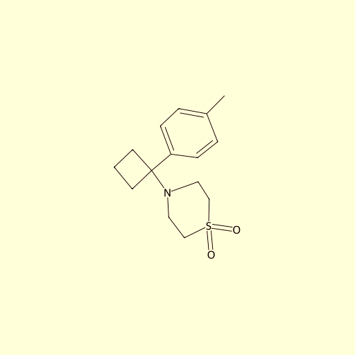 Cc1ccc(C2(N3CCS(=O)(=O)CC3)CCC2)cc1